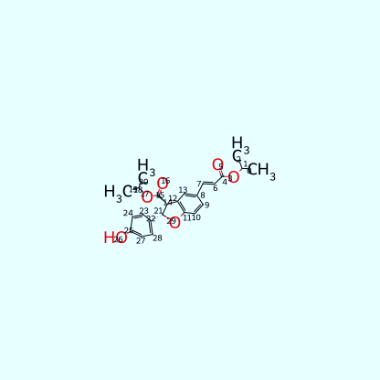 CC(C)OC(=O)/C=C/c1ccc2c(c1)[C@H](C(=O)OC(C)C)[C@@H](c1ccc(O)cc1)O2